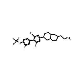 CCCC1CCC2CC(c3cc(F)c(-c4ccc(OC(F)(F)F)c(F)c4)c(F)c3)CCC2C1